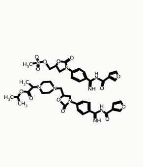 CC(C)OC(=O)C(C)N1CCN(CC2CN(c3ccc(C(=N)NC(=O)c4ccoc4)cc3)C(=O)O2)CC1.CS(=O)(=O)OCC1CN(c2ccc(C(=N)NC(=O)c3ccoc3)cc2)C(=O)O1